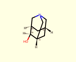 O[C@H]1[C@@H]2C[C@H]3C[C@H]1CN(C3)C2